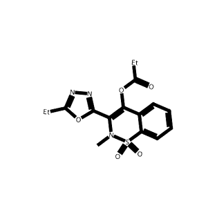 CCC(=O)OC1=C(c2nnc(CC)o2)N(C)S(=O)(=O)c2ccccc21